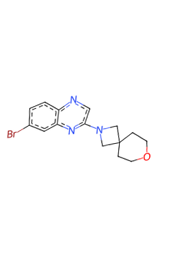 Brc1ccc2ncc(N3CC4(CCOCC4)C3)nc2c1